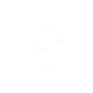 CN1CCN(Cc2cs[c]c2Cl)CC1